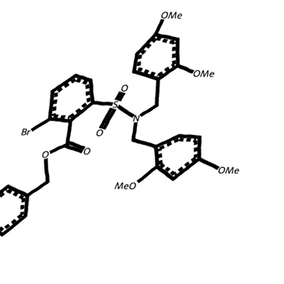 COc1ccc(CN(Cc2ccc(OC)cc2OC)S(=O)(=O)c2cccc(Br)c2C(=O)OCc2ccccc2)c(OC)c1